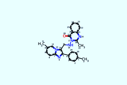 Cc1ccc(-c2nc3ccc(C)cn3c2CNn2c(C)nc3ccccc3c2=O)cc1